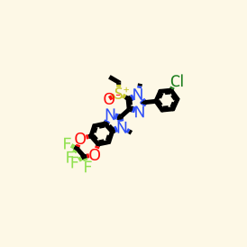 CC[S+]([O-])c1c(-c2nc3cc4c(cc3n2C)OC(F)(F)C(F)(F)O4)nc(-c2cccc(Cl)c2)n1C